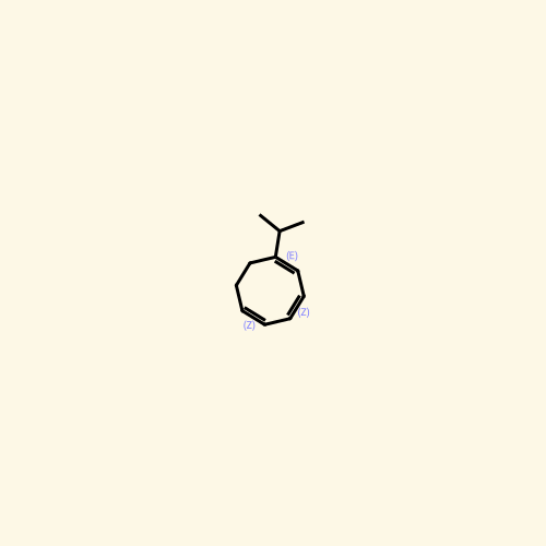 CC(C)/C1=C/C=C\C=C/CC1